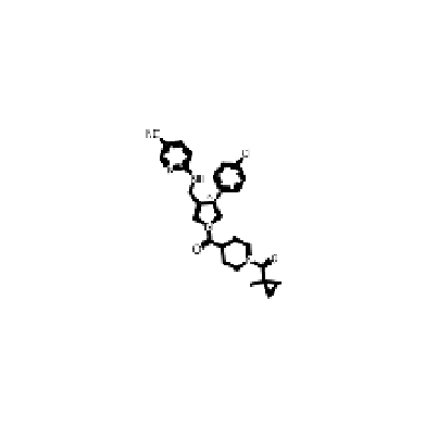 CC1(C(=O)N2CCC(C(=O)N3CC(CNc4ccc(C#N)cn4)[C@@H](c4ccc(Cl)cc4)C3)CC2)CC1